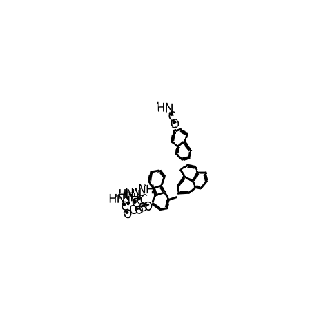 C1=Cc2cccc3cccc(c23)C1.Cc1cccc2c1=c1ccccc1=2.N=C=O.N=C=O.N=C=O.N=C=O.N=C=O.N=C=O.c1ccc2ccccc2c1